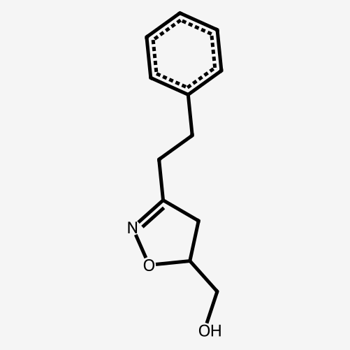 OCC1CC(CCc2ccccc2)=NO1